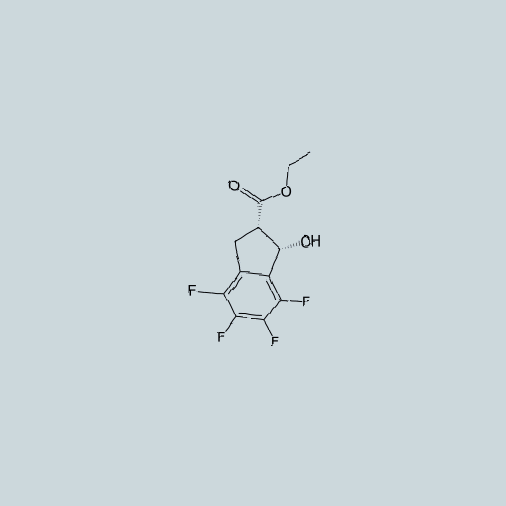 CCOC(=O)[C@H]1Cc2c(F)c(F)c(F)c(F)c2[C@H]1O